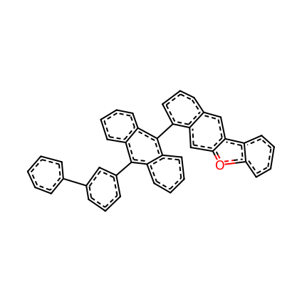 c1ccc(-c2cccc(-c3c4ccccc4c(-c4cccc5cc6c(cc45)oc4ccccc46)c4ccccc34)c2)cc1